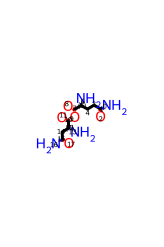 NC(=O)CC[C@H](N)C(=O)OC(=O)[C@H](N)CC(N)=O